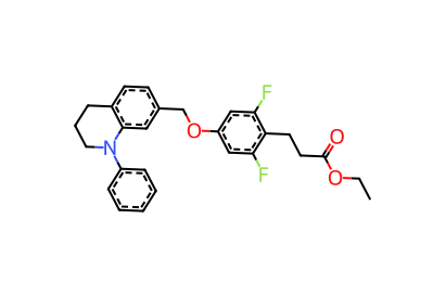 CCOC(=O)CCc1c(F)cc(OCc2ccc3c(c2)N(c2ccccc2)CCC3)cc1F